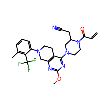 C=CC(=O)N1CCN(c2nc(OC)nc3c2CCN(c2cccc(C)c2C(F)(F)F)C3)CC1CC#N